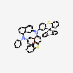 c1ccc(N(c2ccccc2)c2cccc3ccc(N(c4ccc5c(c4)C4(c6ccccc6S5)c5ccccc5-c5ccccc54)c4ccc5sc6ccccc6c5c4)cc23)cc1